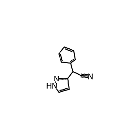 N#CC(c1ccccc1)c1cc[nH]n1